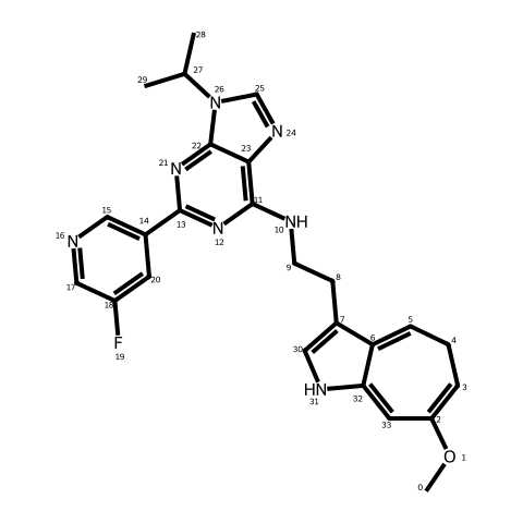 COC1=CCC=c2c(CCNc3nc(-c4cncc(F)c4)nc4c3ncn4C(C)C)c[nH]c2=C1